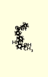 CC(O)c1cccc(Nc2nccc(-c3ccc(C(=O)NCc4cccs4)s3)n2)c1